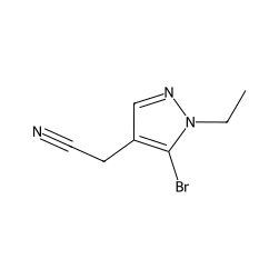 CCn1ncc(CC#N)c1Br